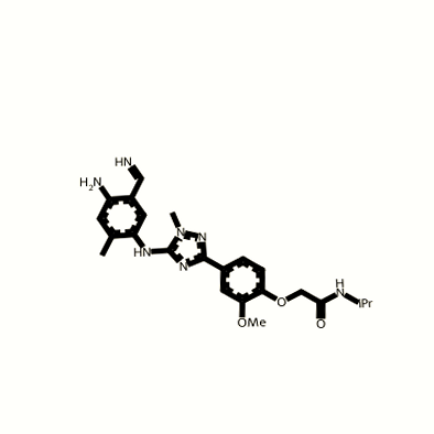 COc1cc(-c2nc(Nc3cc(C=N)c(N)cc3C)n(C)n2)ccc1OCC(=O)NC(C)C